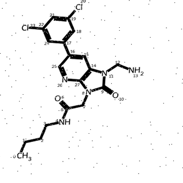 CCCCNC(=O)Cn1c(=O)n(CN)c2cc(-c3cc(Cl)cc(Cl)c3)cnc21